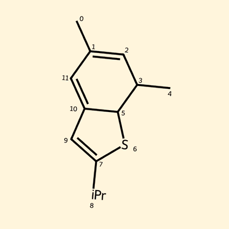 CC1=CC(C)C2SC(C(C)C)=CC2=C1